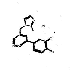 Cc1nccn1Cc1cncc(-c2ccc(Cl)c(Cl)c2)c1.Cl